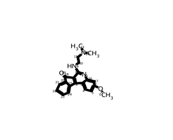 COc1ccc2c3c(c(NCCN(C)C)nc2c1)C(=O)c1ccccc1-3